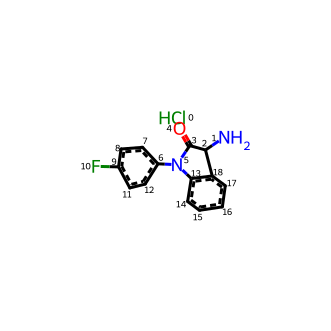 Cl.NC1C(=O)N(c2ccc(F)cc2)c2ccccc21